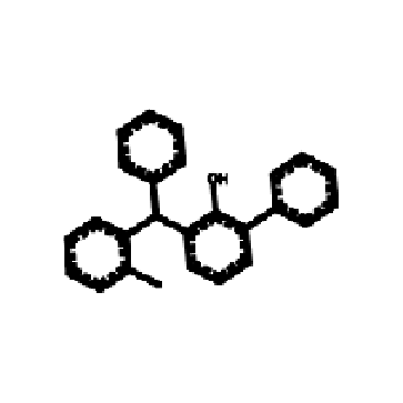 Cc1ccccc1C(c1ccccc1)c1cccc(-c2ccccc2)c1O